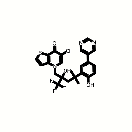 CC(C)(CC(O)(Cn1cc(Cl)c(=O)c2sccc21)C(F)(F)F)c1cc(-c2cncnc2)ccc1O